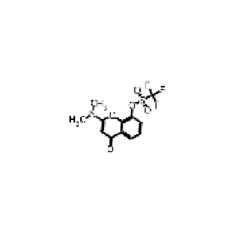 CN(C)c1cc(=O)c2cccc(OS(=O)(=O)C(F)(F)F)c2o1